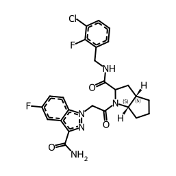 NC(=O)c1nn(CC(=O)N2C(C(=O)NCc3cccc(Cl)c3F)C[C@@H]3CCC[C@@H]32)c2ccc(F)cc12